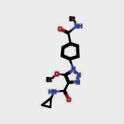 CCNC(=O)c1ccc(-n2nnc(C(=O)NC3CC3)c2OCC)cc1